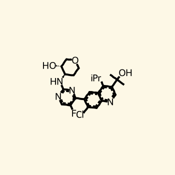 CC(C)c1c(C(C)(C)O)cnc2cc(Cl)c(-c3nc(N[C@@H]4CCOC[C@H]4O)ncc3F)cc12